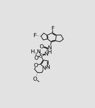 CO[C@@H]1COc2c(S(N)(=O)=NC(=O)Nc3c4c(c(F)c5c3C[C@H](F)C5)CCC4)cnn2C1